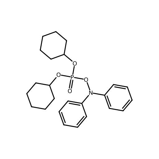 O=P(OC1CCCCC1)(OC1CCCCC1)ON(c1ccccc1)c1ccccc1